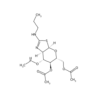 CCCNC1=N[C@@H]2[C@@H](OPC)[C@H](OC(C)=O)[C@@H](COC(C)=O)O[C@@H]2S1